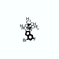 CC(C)(C)[Si](C)(C)OC1CCc2c(Br)cc(F)cc21